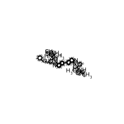 COC(=O)N[C@H](C(=O)N1CCC[C@H]1c1nc2ccc3cc(-c4ccc5c(ccc6nc([C@@H]7C[C@H](COCC8CCCCC8)CN7C(=O)[C@@H](NC(=O)OC)C(C)C)[nH]c65)c4)ccc3c2[nH]1)C(C)C